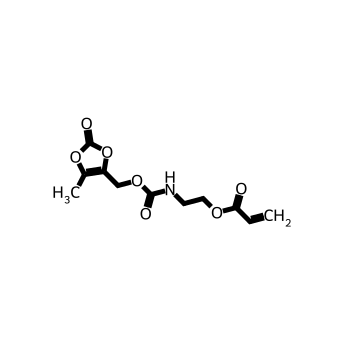 C=CC(=O)OCCNC(=O)OCc1oc(=O)oc1C